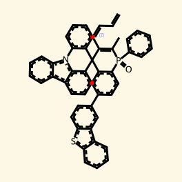 C=C/C=C\C1=C(C)P(=O)(c2ccccc2)c2ccc(-c3ccc4sc5ccccc5c4c3)cc2C12c1ccccc1-n1c3ccccc3c3cccc2c31